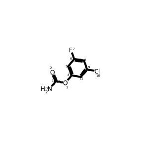 NC(=O)Oc1cc(F)cc(Cl)c1